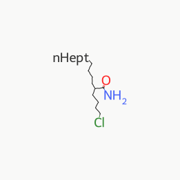 CCCCCCCCCCCC(CCCCCl)C(N)=O